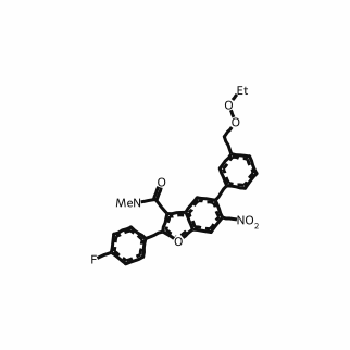 CCOOCc1cccc(-c2cc3c(C(=O)NC)c(-c4ccc(F)cc4)oc3cc2[N+](=O)[O-])c1